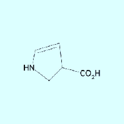 O=C(O)C1C=CNC1